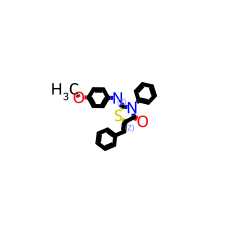 COc1ccc(/N=C2\S/C(=C\c3ccccc3)C(=O)N2c2ccccc2)cc1